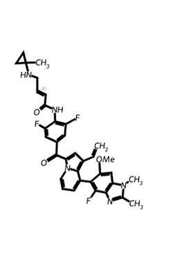 C=Cc1cc(C(=O)c2cc(F)c(NC(=O)/C=C/CNC3(C)CC3)c(F)c2)n2cccc(-c3c(OC)cc4c(nc(C)n4C)c3F)c12